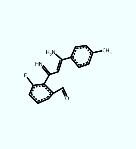 Cc1ccc(/C(N)=C/C(=N)c2c(F)cccc2C=O)cc1